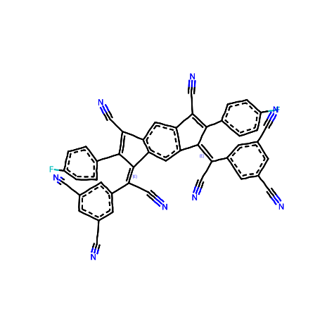 N#CC1=C(c2ccc(F)cc2)/C(=C(/C#N)c2cc(C#N)cc(C#N)c2)c2cc3c(cc21)C(C#N)=C(c1ccc(F)cc1)/C3=C(/C#N)c1cc(C#N)cc(C#N)c1